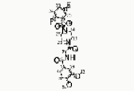 COc1ccc(C(=O)NCC(=O)N2CCN(S(=O)(=O)c3cc(F)ccc3F)CC2)cc1OC